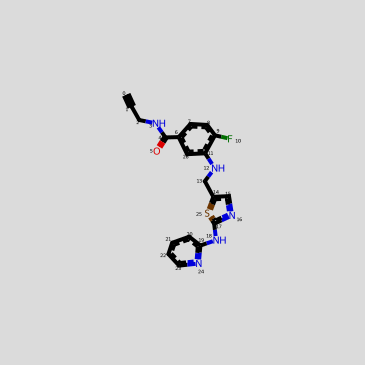 C#CCNC(=O)c1ccc(F)c(NCc2cnc(Nc3ccccn3)s2)c1